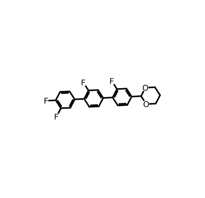 Fc1ccc(-c2ccc(-c3ccc(C4OCCCO4)cc3F)cc2F)cc1F